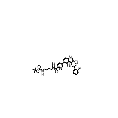 CC(Nc1c(Cl)cnc2ccc(-c3ccc(C(=O)NCCCCNC(=O)OC(C)(C)C)nc3)cc12)c1ccccc1F